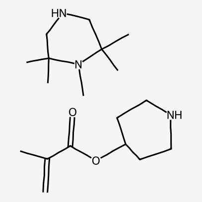 C=C(C)C(=O)OC1CCNCC1.CN1C(C)(C)CNCC1(C)C